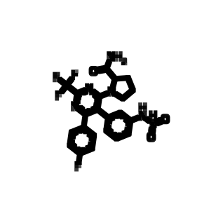 NC(=O)C1CCCN1c1nc(C(F)(F)F)nc(-c2ccc(F)cc2)c1-c1cccc(N[SH](=O)=O)c1